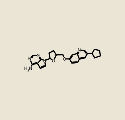 Nc1ncnc2c1ccn2C1CCC(COc2ccc3cc(C4CCCC4)cnc3c2)O1